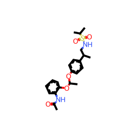 CC(=O)Nc1ccccc1OC(C)Oc1ccc(C(C)CNS(=O)(=O)C(C)C)cc1